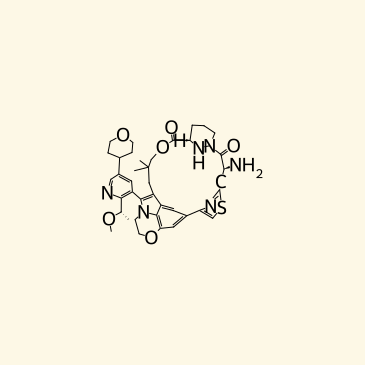 CO[C@@H](C)c1ncc(C2CCOCC2)cc1-c1c2c3cc(cc4c3n1CCO4)-c1csc(n1)C[C@H](N)C(=O)N1CCC[C@H](N1)C(=O)OCC(C)(C)C2